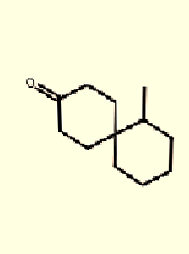 CC1CCCCC12CCC(=O)CC2